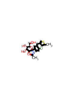 CC1=NC2(c3ccc(Cl)c(Cc4csc(C)c4)c3)O[C@H](CO)[C@@H](O)[C@H](O)C2O1